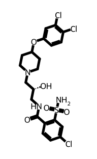 NS(=O)(=O)c1cc(Cl)ccc1C(=O)NC[C@@H](O)CN1CCC(Oc2ccc(Cl)c(Cl)c2)CC1